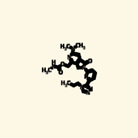 CCCn1cnnc1-c1cccc(N2Cc3c(cc(N(C)C)nc3COC(=O)NC)C2=O)n1